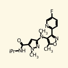 Cc1onc(-c2ccc(F)cn2)c1N(C)c1cc(C(=O)NC(C)C)n(C)n1